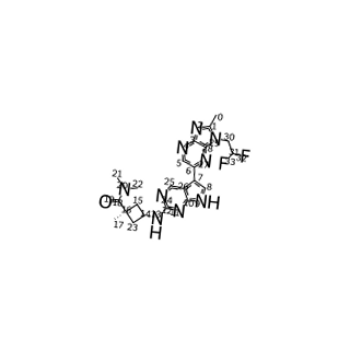 Cc1nc2ncc(-c3c[nH]c4nc(N[C@H]5C[C@](C)(C(=O)N(C)C)C5)ncc34)nc2n1CC(F)F